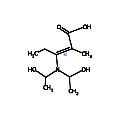 CC/C(=C(/C)C(=O)O)N(C(C)O)C(C)O